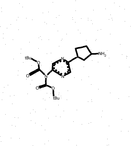 CC(C)(C)OC(=O)N(C(=O)OC(C)(C)C)c1cnc(C2CCC(N)C2)cn1